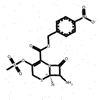 CS(=O)(=O)OC1=C(C(=O)OCc2ccc([N+](=O)[O-])cc2)N2C(=O)C(N)[C@H]2SC1